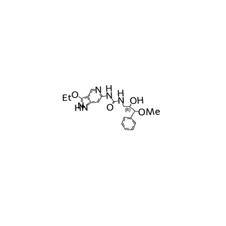 CCOc1n[nH]c2cc(NC(=O)NC[C@@H](O)C(OC)c3ccccc3)ncc12